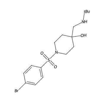 CC(C)(C)NCC1(O)CCN(S(=O)(=O)c2ccc(Br)cc2)CC1